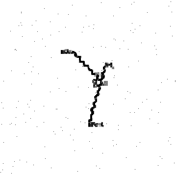 CCCCCC=CCC=CCCCCCCCC(=O)NC(CCCCN)C(=O)NCCCCCCCCC=CCCCCCCCC